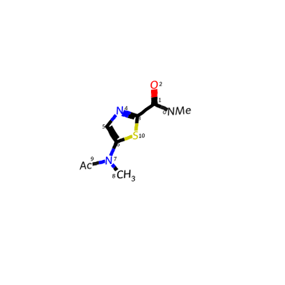 CNC(=O)c1ncc(N(C)C(C)=O)s1